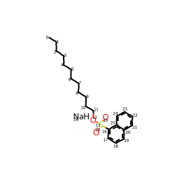 CCCCCCCCCCCCOS(=O)(=O)c1cccc2ccccc12.[NaH]